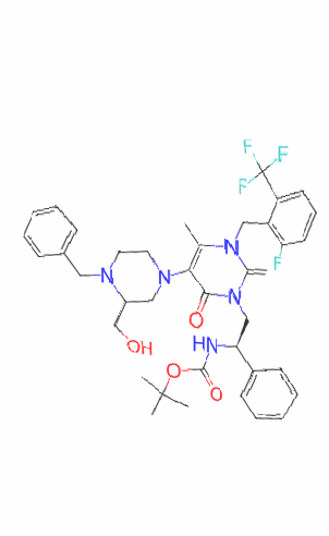 C=C1N(C[C@H](NC(=O)OC(C)(C)C)c2ccccc2)C(=O)C(N2CCN(Cc3ccccc3)C(CO)C2)=C(C)N1Cc1c(F)cccc1C(F)(F)F